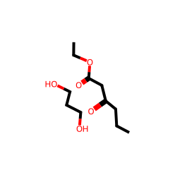 CCCC(=O)CC(=O)OCC.OCCCO